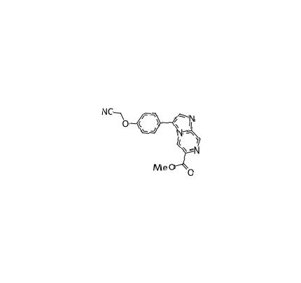 COC(=O)c1cn2c(-c3ccc(OCC#N)cc3)cnc2cn1